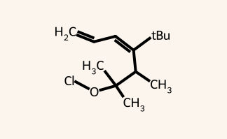 C=C/C=C(\C(C)C(C)(C)OCl)C(C)(C)C